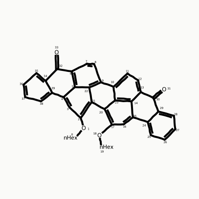 CCCCCCOc1cc2c3c(ccc4c5ccc6c7c(cc(OCCCCCC)c(c1c34)c75)-c1ccccc1C6=O)C(=O)c1ccccc1-2